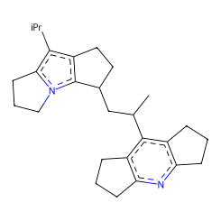 CC(C)c1c2c(n3c1CCC3)C(CC(C)c1c3c(nc4c1CCC4)CCC3)CC2